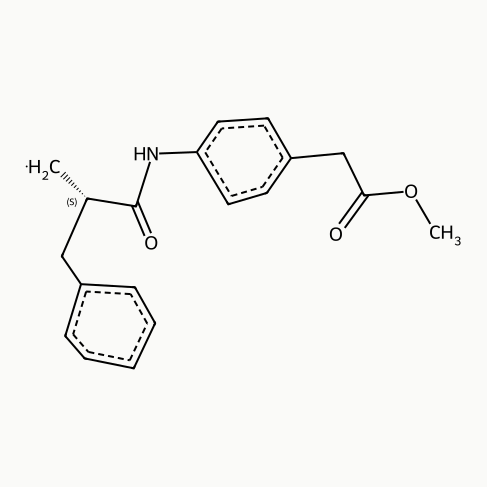 [CH2][C@@H](Cc1ccccc1)C(=O)Nc1ccc(CC(=O)OC)cc1